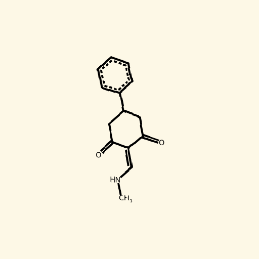 CNC=C1C(=O)CC(c2ccccc2)CC1=O